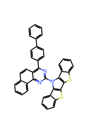 c1ccc(-c2ccc(-c3nc(-n4c5c6ccccc6sc5c5sc6ccccc6c54)nc4c3ccc3ccccc34)cc2)cc1